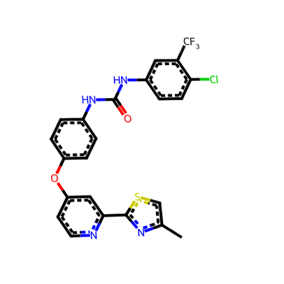 Cc1csc(-c2cc(Oc3ccc(NC(=O)Nc4ccc(Cl)c(C(F)(F)F)c4)cc3)ccn2)n1